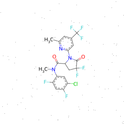 Cc1cc(C(F)(F)F)cc(N2C(=O)C(F)(F)CC2C(=O)N(C)c2cc(Cl)c(F)cc2F)n1